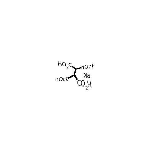 CCCCCCCCC(C(=O)O)C(CCCCCCCC)C(=O)O.[Na]